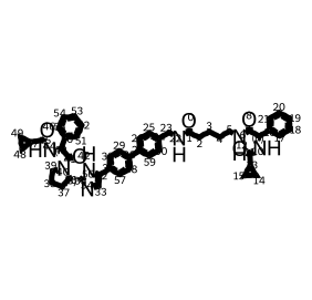 O=C(CCCCNC(=O)[C@H](NC(=O)C1CC1)c1ccccc1)NCc1ccc(-c2ccc(-c3cnc([C@@H]4CCCN4C(=O)[C@H](NC(=O)C4CC4)c4ccccc4)[nH]3)cc2)cc1